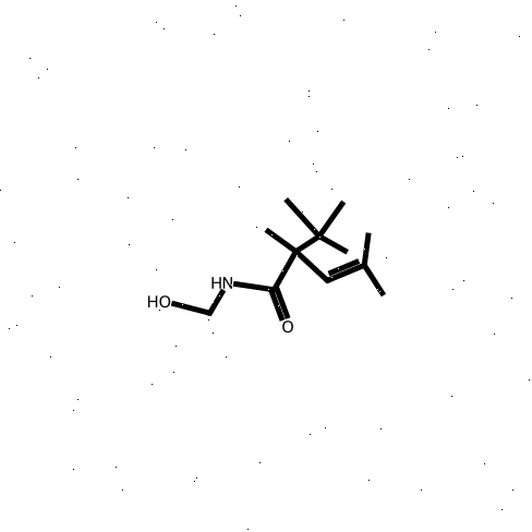 CC(C)=CC(C)(C(=O)NCO)C(C)(C)C